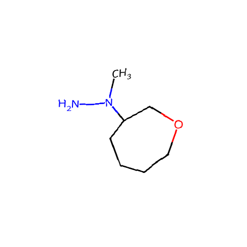 CN(N)C1CCCCOC1